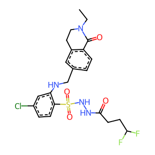 CCN1CCc2cc(CNc3cc(Cl)ccc3S(=O)(=O)NNC(=O)CCC(F)F)ccc2C1=O